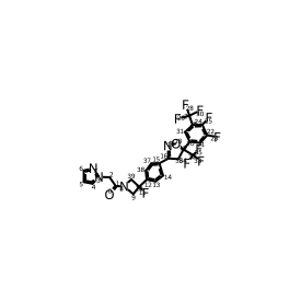 O=C(Cn1cccn1)N1CC(F)(c2ccc(C3=NOC(c4cc(F)c(F)c(C(F)(F)F)c4)(C(F)(F)F)C3)cc2)C1